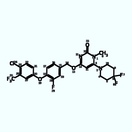 Cn1c(N2CCC(F)(F)CC2)cc(OCc2ccc(Oc3ccc(Cl)c(C(F)(F)F)c3)c(F)c2)nc1=O